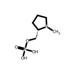 CN1CCC[C@H]1COP(=O)(O)O